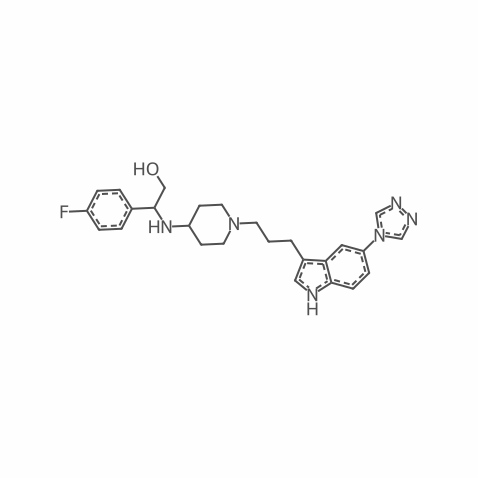 OCC(NC1CCN(CCCc2c[nH]c3ccc(-n4cnnc4)cc23)CC1)c1ccc(F)cc1